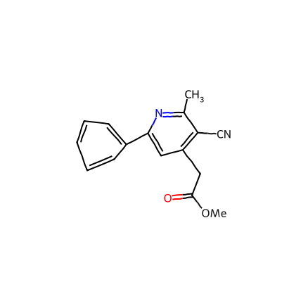 COC(=O)Cc1cc(-c2ccccc2)nc(C)c1C#N